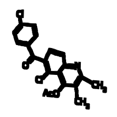 CC(=O)Oc1c(C)c(C)nc2ccc(C(=O)c3ccc(Cl)cc3)c(Cl)c12